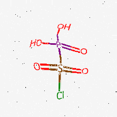 O=P(O)(O)S(=O)(=O)Cl